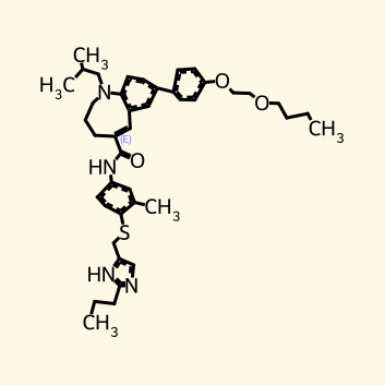 CCCCOCCOc1ccc(-c2ccc3c(c2)/C=C(/C(=O)Nc2ccc(SCc4cnc(CCC)[nH]4)c(C)c2)CCCN3CC(C)C)cc1